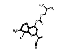 Cc1ccc2c(OC(=O)OCC(C)C)cc(C(=O)[N+]#N)nc2c1Cl